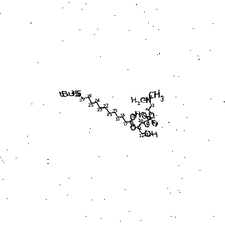 CN(C)CCOP(=O)(O)OC[C@@H](CO)OC(=O)CCCCCCCCCCCSC(C)(C)C